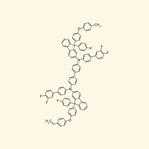 C=Cc1ccc(Oc2ccc(C3(c4ccc(F)cc4)c4ccccc4-c4ccc(N(c5ccc(-c6ccc(N(c7ccc(-c8ccc(F)c(F)c8)cc7)c7ccc8c(c7)C(c7ccc(F)cc7)(c7ccc(Oc9ccc(C)cc9)cc7)c7ccccc7-8)cc6)cc5)c5ccc(-c6ccc(F)c(F)c6)cc5)cc43)cc2)cc1